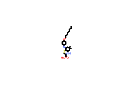 CCCCCCCCOc1ccc(N=C2CC(C)(C)CC3=C2SCC(C(=O)O)N3)cc1